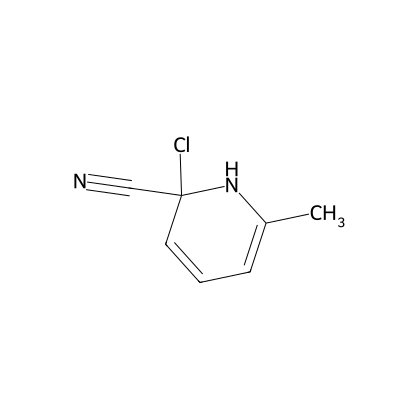 CC1=CC=CC(Cl)(C#N)N1